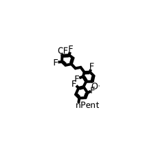 CCCCCc1cc(F)c(-c2c([O])cc(F)c(CCc3cc(F)c(C(F)(F)F)c(F)c3)c2F)c(F)c1